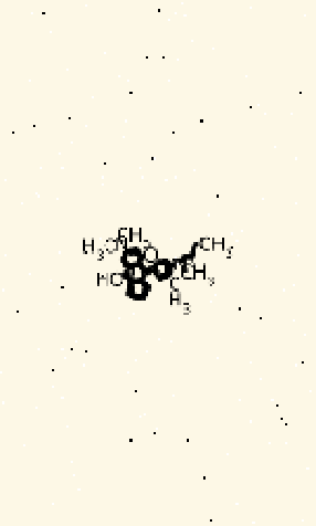 CCCC/[N+](C)=c1\cc2oc3cc(N(C)C)ccc3c(-c3ccccc3C(=O)O)c-2cc1C